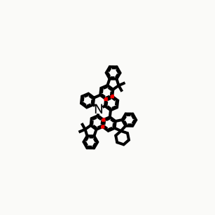 CC1(C)c2ccccc2-c2cc(-c3ccccc3N(c3ccc4c(c3)C(C)(C)c3ccccc3-4)c3ccccc3-c3cccc4c3-c3ccccc3C43CCCCC3)ccc21